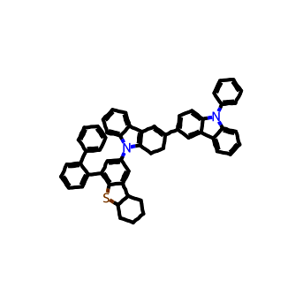 C1=C(c2ccc3c(c2)c2ccccc2n3-c2ccccc2)CCc2c1c1ccccc1n2-c1cc(-c2ccccc2-c2ccccc2)c2c(c1)C1CCCCC1S2